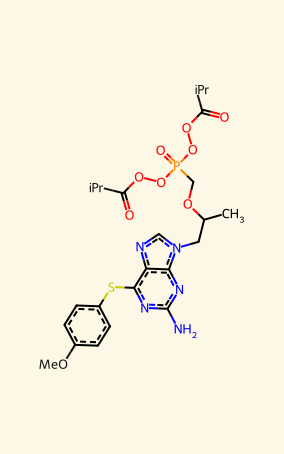 COc1ccc(Sc2nc(N)nc3c2ncn3CC(C)OCP(=O)(OOC(=O)C(C)C)OOC(=O)C(C)C)cc1